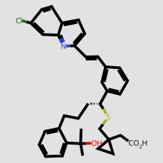 CC(C)(O)c1ccccc1CCC[C@@H](SCC1(CC(=O)O)CC1)c1cccc(/C=C/c2ccc3ccc(Cl)cc3n2)c1